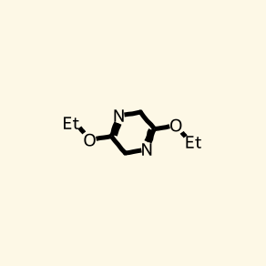 CCOC1=NCC(OCC)=NC1